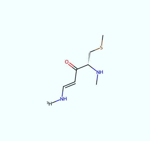 [3H]NC=CC(=O)[C@H](CSC)NC